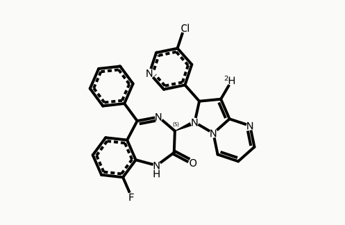 [2H]C1=C2N=CC=CN2N([C@@H]2N=C(c3ccccc3)c3cccc(F)c3NC2=O)C1c1cncc(Cl)c1